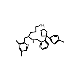 Cc1cnc(CC(CCCN)NCc2ncccc2C2(c3ccc(F)cc3)CCCC2)c(C)c1